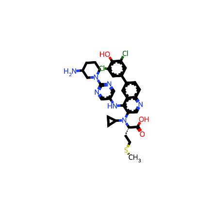 CSCC[C@@H](C(=O)O)N(c1cnc2ccc(-c3cc(Cl)c(O)c(Cl)c3)cc2c1Nc1cnc(N2CCCC(N)C2)nc1)C1CC1